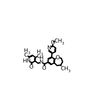 COc1ccc(-c2cc(C(=O)NCc3c(C)cc(C)[nH]c3=O)cc3c2OCCC(C)C3)cn1